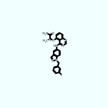 C[C@H](Oc1cccc2ncnc(Nc3ccc4c(cnn4Cc4cccc(F)c4)c3)c12)C(N)=O